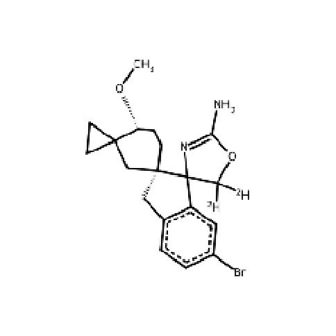 [2H]C1([2H])OC(N)=NC12c1cc(Br)ccc1C[C@]21CC[C@@H](OC)C2(CC2)C1